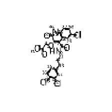 COC(=O)COc1c(C(=O)NCCCc2ccc(Cl)c(Cl)c2)c2cc(Cl)ccc2n(C)c1=O